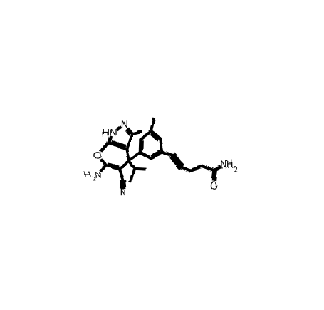 Cc1cc(C#CCCC(N)=O)cc(C2(C(C)C)C(C#N)=C(N)Oc3[nH]nc(C)c32)c1